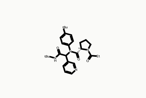 CCC(=O)N1CCC[C@H]1C(=O)N(c1ccc(C(C)(C)C)cc1)C(C(=O)NC(C)(C)C)c1cccnc1